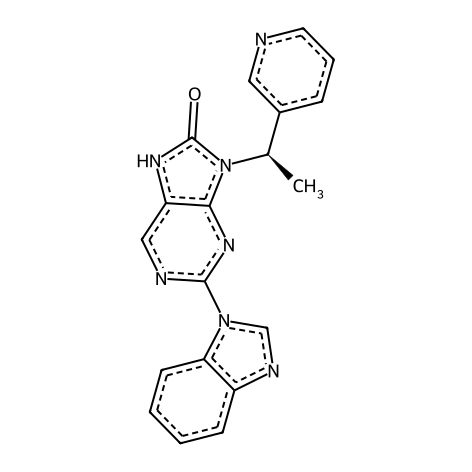 C[C@H](c1cccnc1)n1c(=O)[nH]c2cnc(-n3cnc4ccccc43)nc21